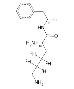 [2H]C([2H])(CN)C([2H])([2H])C[C@H](N)C(=O)N[C@@H](C)Cc1ccccc1